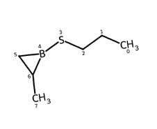 CCCSB1CC1C